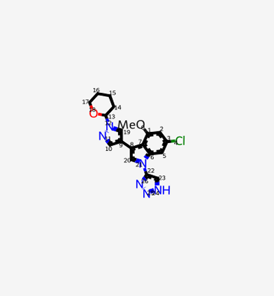 COc1cc(Cl)cc2c1c(-c1cnn(C3CCCCO3)c1)cn2-c1c[nH]nn1